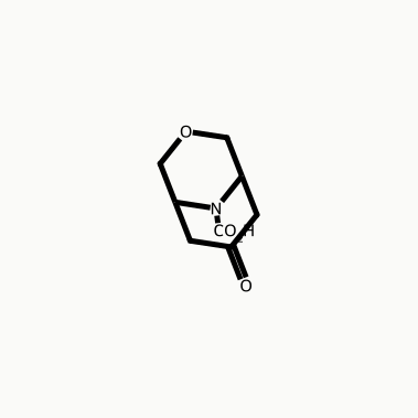 O=C1CC2COCC(C1)N2C(=O)O